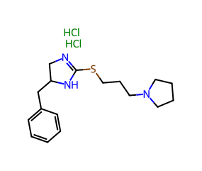 Cl.Cl.c1ccc(CC2CN=C(SCCCN3CCCC3)N2)cc1